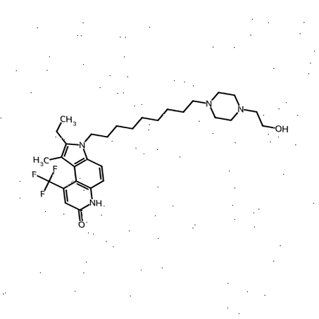 CCc1c(C)c2c3c(C(F)(F)F)cc(=O)[nH]c3ccc2n1CCCCCCCCCN1CCN(CCO)CC1